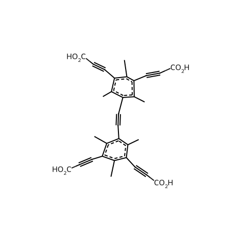 Cc1c(C#CC(=O)O)c(C)c(C#Cc2c(C)c(C#CC(=O)O)c(C)c(C#CC(=O)O)c2C)c(C)c1C#CC(=O)O